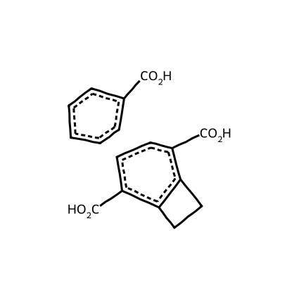 O=C(O)c1ccc(C(=O)O)c2c1CC2.O=C(O)c1ccccc1